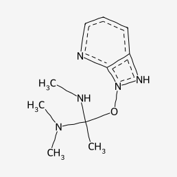 CNC(C)(On1[nH]c2cccnc21)N(C)C